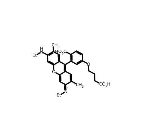 CC/N=c1\cc2oc3cc(NCC)c(C)cc3c(-c3cc(OCCCC(=O)O)ccc3C(=O)O)c-2cc1C